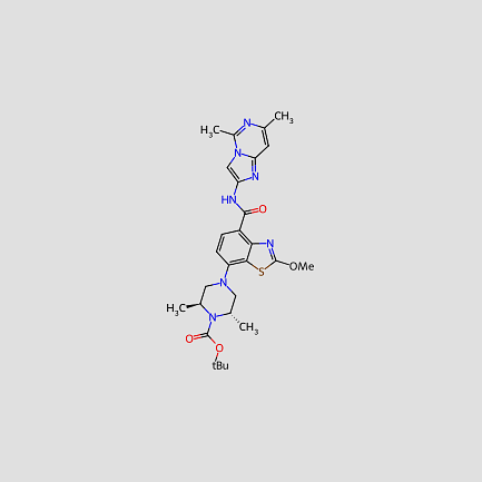 COc1nc2c(C(=O)Nc3cn4c(C)nc(C)cc4n3)ccc(N3C[C@H](C)N(C(=O)OC(C)(C)C)[C@@H](C)C3)c2s1